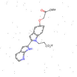 COC(=O)COc1ccc2c(c1)cc(-c1cc3cccnc3[nH]1)n2CCC(=O)O